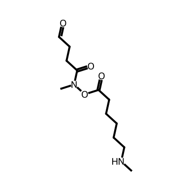 CNCCCCCC(=O)ON(C)C(=O)CCC=O